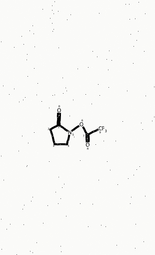 O=C1CCCN1OC(=O)C(F)(F)F